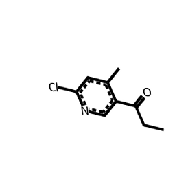 CCC(=O)c1cnc(Cl)cc1C